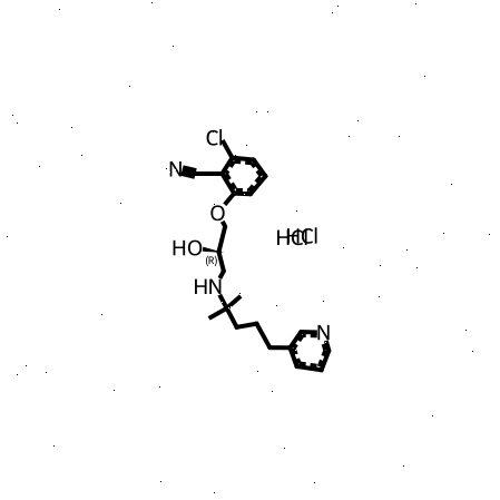 CC(C)(CCCc1cccnc1)NC[C@@H](O)COc1cccc(Cl)c1C#N.Cl.Cl